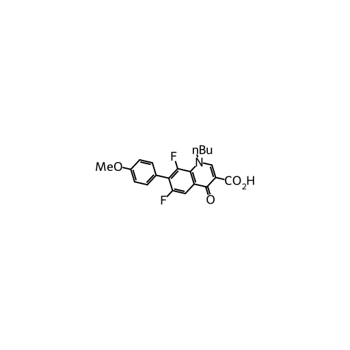 CCCCn1cc(C(=O)O)c(=O)c2cc(F)c(-c3ccc(OC)cc3)c(F)c21